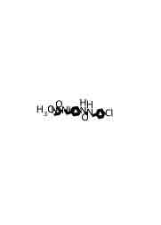 CN1CC[C@H](NCc2ccc(NC(=O)NCc3ccc(Cl)cc3)cc2)C1=O